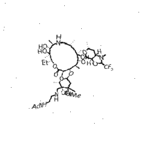 CC[C@H]1OC(=O)[C@H](C)[C@@H](O[C@H]2C[C@@](C)(OC)[C@](O)(CNCCNC(C)=O)[C@H](C)O2)[C@H](C)[C@@H](O[C@@H]2O[C@H](C)C[C@H]3[C@H]2OC(C(F)(F)F)N3C)[C@](C)(O)C[C@@H](C)CN[C@H](C)[C@@H](O)[C@]1(C)O